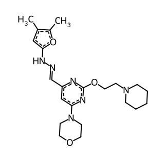 Cc1cc(N/N=C/c2cc(N3CCOCC3)nc(OCCN3CCCCC3)n2)oc1C